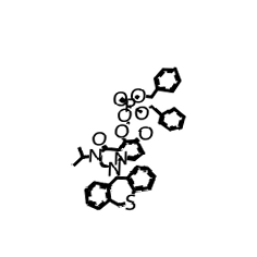 CC(C)N1CN(C2c3ccccc3CSc3ccccc32)n2ccc(=O)c(OCOP(=O)(OCc3ccccc3)OCc3ccccc3)c2C1=O